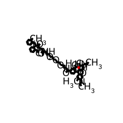 C=Cc1ccccc1N(Cc1ccccc1C)C(=O)CCC(=O)NCCOCCOCCOCCNC(=O)c1ccc(C2c3cc(C)c(NCC)cc3OC3=C/C(=N/CC)C(C)=CC32)c(C(=O)O)c1